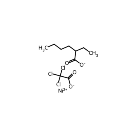 CCCCC(CC)C(=O)[O-].O=C([O-])C(Cl)(Cl)Cl.[Ni+2]